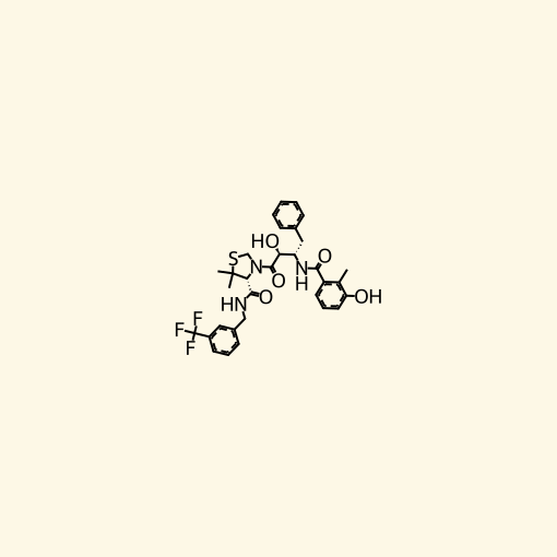 Cc1c(O)cccc1C(=O)N[C@@H](Cc1ccccc1)[C@H](O)C(=O)N1CSC(C)(C)[C@H]1C(=O)NCc1cccc(C(F)(F)F)c1